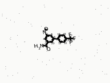 NC(=O)c1cc(N=O)cc(-c2ccc(C(F)(F)F)cc2)c1